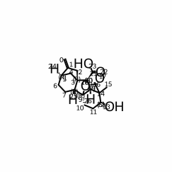 C=C1C[C@]23C[C@H]1CC[C@H]2[C@@]12CC[C@H](O)C(C)(C(=O)O1)[C@H]2[C@@H]3C(=O)O